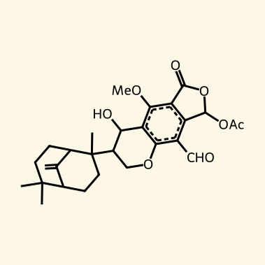 C=C1C2CCC(C)(C3COc4c(C=O)c5c(c(OC)c4C3O)C(=O)OC5OC(C)=O)C1CCC2(C)C